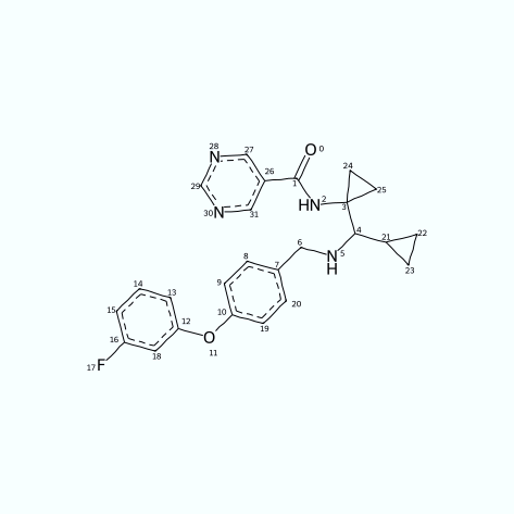 O=C(NC1(C(NCc2ccc(Oc3cccc(F)c3)cc2)C2CC2)CC1)c1cncnc1